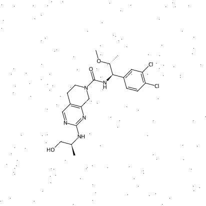 CO[C@H](C)[C@H](NC(=O)N1CCc2cnc(N[C@@H](C)CO)nc2C1)c1ccc(Cl)c(Cl)c1